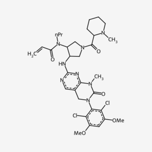 C=CC(=O)N(CCC)C1CN(C(=O)C2CCCCN2C)CC1Nc1ncc2c(n1)N(C)C(=O)N(c1c(Cl)c(OC)cc(OC)c1Cl)C2